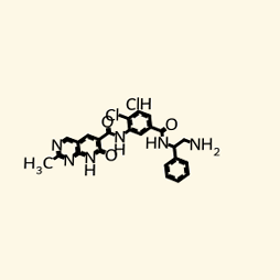 Cc1ncc2cc(C(=O)Nc3cc(C(=O)NC(CN)c4ccccc4)ccc3Cl)c(=O)[nH]c2n1.Cl